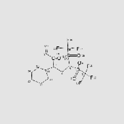 C=COC(CC(S(=O)(=O)C(F)(F)F)S(=O)(=O)C(F)(F)F)C1CCCCC1